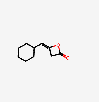 O=C1CC(=CC2CCCCC2)O1